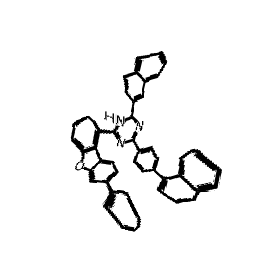 c1ccc(-c2ccc3c(c2)oc2cccc(C4=NC(c5ccc(-c6cccc7ccccc67)cc5)=NC(c5ccc6ccccc6c5)N4)c23)cc1